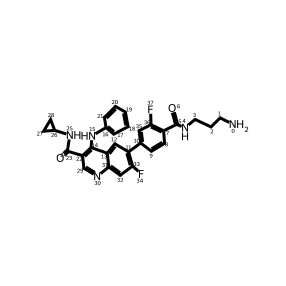 NCCCNC(=O)c1ccc(-c2cc3c(Nc4ccccc4)c(C(=O)NC4CC4)cnc3cc2F)cc1F